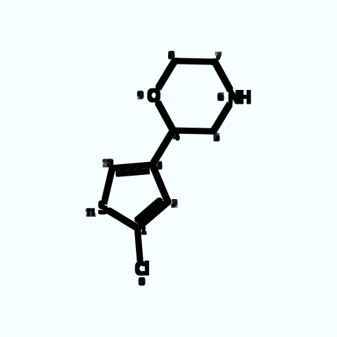 Clc1cc(C2CNCCO2)cs1